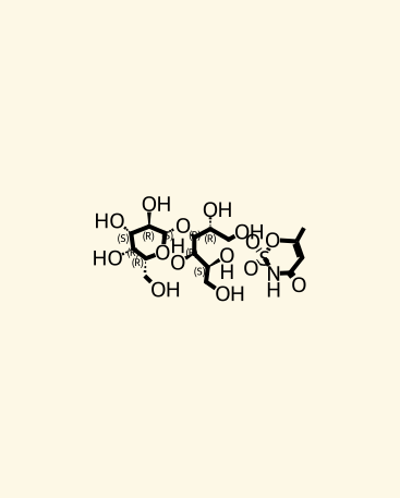 CC1=CC(=O)NS(=O)(=O)O1.OC[C@@H](O)[C@@H](O[C@@H]1O[C@H](CO)[C@H](O)[C@H](O)[C@H]1O)[C@H](O)[C@@H](O)CO